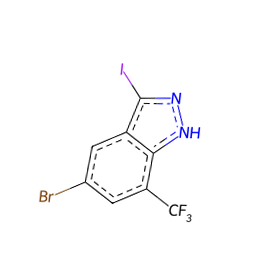 FC(F)(F)c1cc(Br)cc2c(I)n[nH]c12